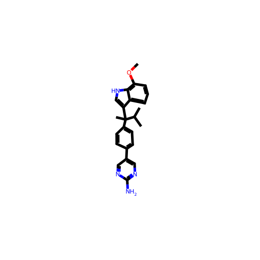 COc1cccc2c(C(C)(c3ccc(-c4cnc(N)nc4)cc3)C(C)C)c[nH]c12